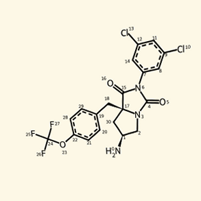 N[C@@H]1CN2C(=O)N(c3cc(Cl)cc(Cl)c3)C(=O)[C@@]2(Cc2ccc(OC(F)(F)F)cc2)C1